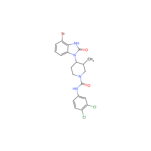 CC1CN(C(=O)Nc2ccc(Cl)c(Cl)c2)CCC1n1c(=O)[nH]c2c(Br)cccc21